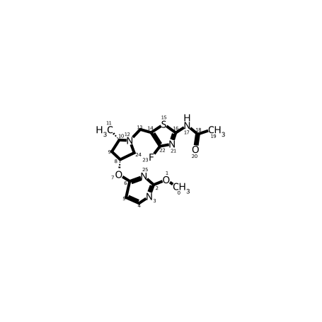 COc1nccc(O[C@@H]2C[C@H](C)N(Cc3sc(NC(C)=O)nc3F)C2)n1